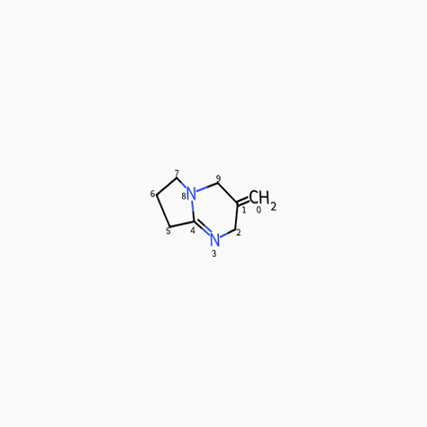 C=C1CN=C2CCCN2C1